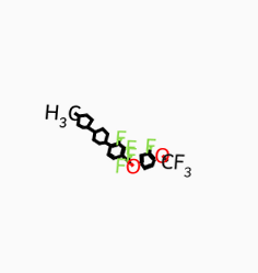 CC1CCC(C2CCC(c3ccc(C(F)(F)Oc4ccc(OC(F)(F)F)c(F)c4)c(F)c3F)CC2)CC1